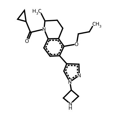 CCCOc1c(-c2cnn(C3CNC3)c2)ccc2c1CCC(C)N2C(=O)C1CC1